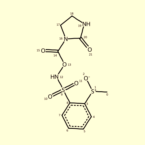 C[S+]([O-])c1ccccc1S(=O)(=O)NOC(=O)N1CCNC1=O